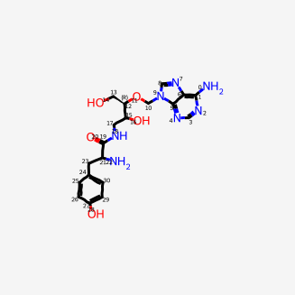 Nc1ncnc2c1ncn2CO[C@H](CO)C(O)CNC(=O)C(N)Cc1ccc(O)cc1